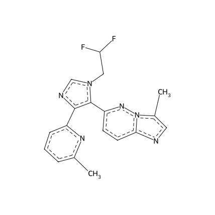 Cc1cccc(-c2ncn(CC(F)F)c2-c2ccc3ncc(C)n3n2)n1